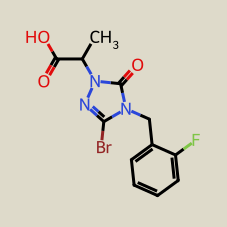 CC(C(=O)O)n1nc(Br)n(Cc2ccccc2F)c1=O